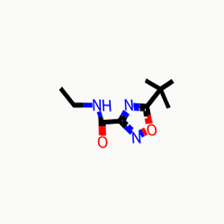 CCNC(=O)c1noc(C(C)(C)C)n1